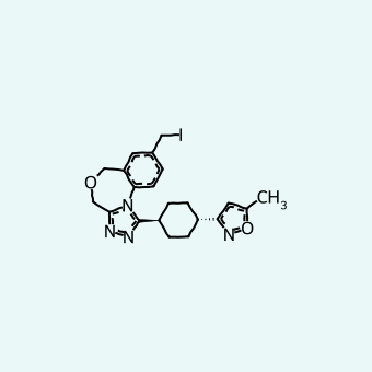 Cc1cc([C@H]2CC[C@H](c3nnc4n3-c3ccc(CI)cc3COC4)CC2)no1